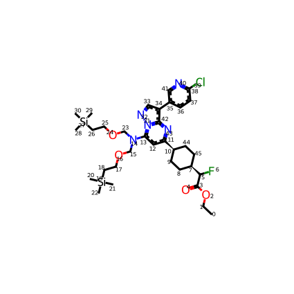 CCOC(=O)C(F)[C@H]1CC[C@@H](c2cc(N(COCC[Si](C)(C)C)COCC[Si](C)(C)C)n3ncc(-c4ccc(Cl)nc4)c3n2)CC1